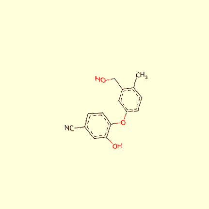 Cc1ccc(Oc2ccc(C#N)cc2O)cc1CO